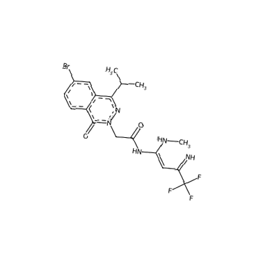 CN/C(=C\C(=N)C(F)(F)F)NC(=O)Cn1nc(C(C)C)c2cc(Br)ccc2c1=O